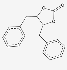 O=C1OC(Cc2ccccc2)C(Cc2ccccc2)O1